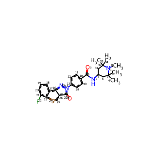 CN1C(C)(C)CC(NC(=O)c2ccc(-n3nc4c5cccc(F)c5scc-4c3=O)cc2)CC1(C)C